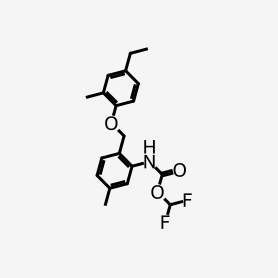 CCc1ccc(OCc2ccc(C)cc2NC(=O)OC(F)F)c(C)c1